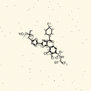 CC[C@H](NS(=O)(=O)c1ccc(-c2sc(-c3nnc(CC(C)(C)C(=O)O)o3)nc2C(=O)N2CCC(F)CC2)c(Cl)c1Cl)C(F)(F)F